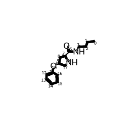 CCCCNC(=O)[C@@H]1C[C@H](Oc2ccccc2)CN1